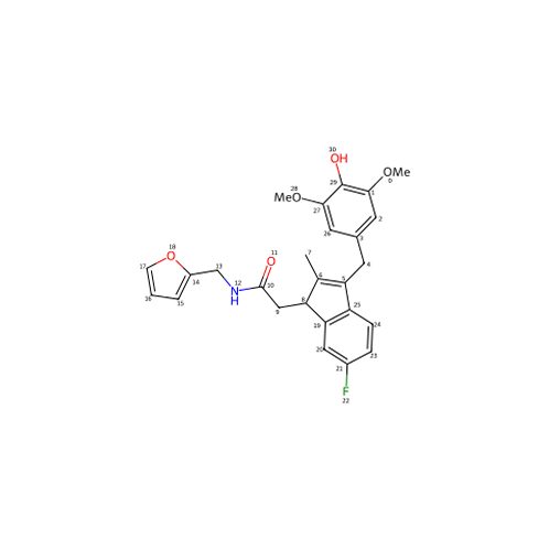 COc1cc(CC2=C(C)C(CC(=O)NCc3ccco3)c3cc(F)ccc32)cc(OC)c1O